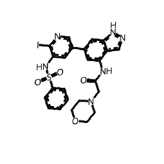 O=C(CN1CCOCC1)Nc1cc(-c2cnc(I)c(NS(=O)(=O)c3ccccc3)c2)cc2[nH]ncc12